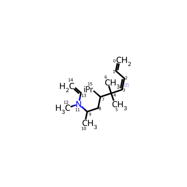 C=C/C=C\C(C)(C)C(CC(C)N(C)C=C)C(C)C